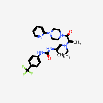 C=C(C(=O)N1CCN(c2ccccn2)CC1)N(/C=C(\C)NC(=O)Nc1ccc(C(F)(F)F)cc1)CC